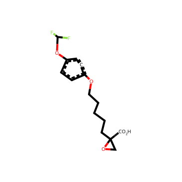 O=C(O)C1(CCCCCOc2ccc(OC(F)F)cc2)CO1